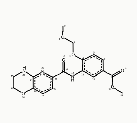 COCOc1ccc(C(=O)OC)cc1NC(=O)c1ccc2c(n1)NCCO2